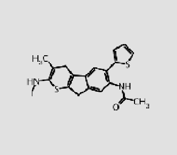 CC(=O)Nc1cc2c(cc1-c1cccs1)C1=C(C2)SC(NI)=C(C)C1